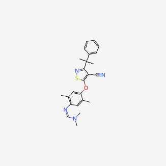 Cc1cc(Oc2snc(C(C)(C)c3ccccc3)c2C#N)c(C)cc1/N=C\N(C)C